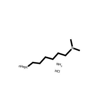 CCCCCCCCCCCCCN(C)C.Cl.N